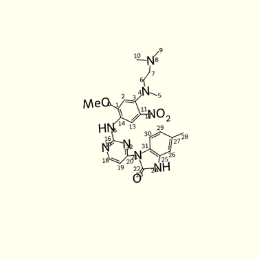 COc1cc(N(C)CCN(C)C)c([N+](=O)[O-])cc1Nc1nccc(-n2c(=O)[nH]c3cc(C)ccc32)n1